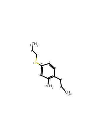 CCCSc1ccc(CCC)c(C)c1